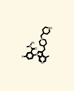 Cc1cncc2c1c(CC1CCN(CC3CCNCC3)CC1)cn2-c1ccc(F)cc1C(=O)N(C)C(C)C